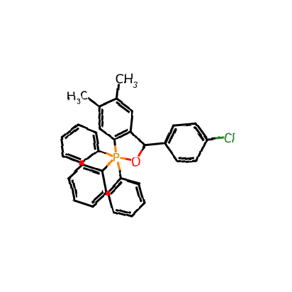 Cc1cc2c(cc1C)P(c1ccccc1)(c1ccccc1)(c1ccccc1)OC2c1ccc(Cl)cc1